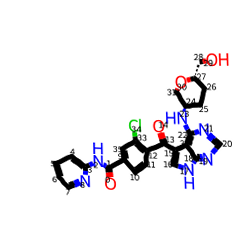 O=C(Nc1ccccn1)c1ccc(C(=O)c2c[nH]c3ncnc(N[C@@H]4CC[C@@H](CO)OC4)c23)c(Cl)c1